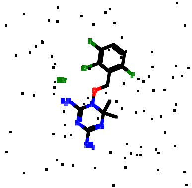 Br.CC1(C)N=C(N)N=C(N)N1OCc1c(F)ccc(F)c1Cl